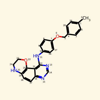 Cc1ccc(COc2ccc(Nc3ncnc4ccc5c(c34)OCCN5)cc2)cc1